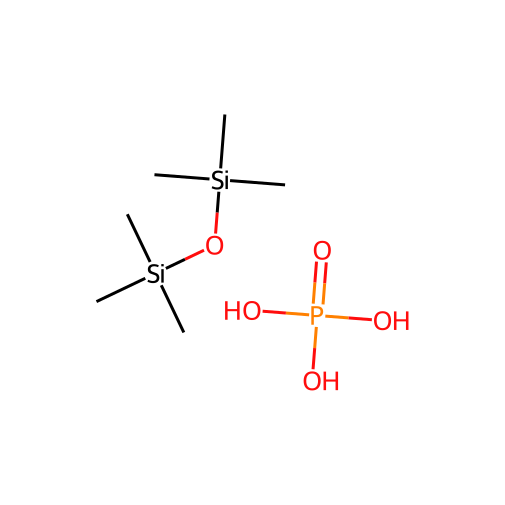 C[Si](C)(C)O[Si](C)(C)C.O=P(O)(O)O